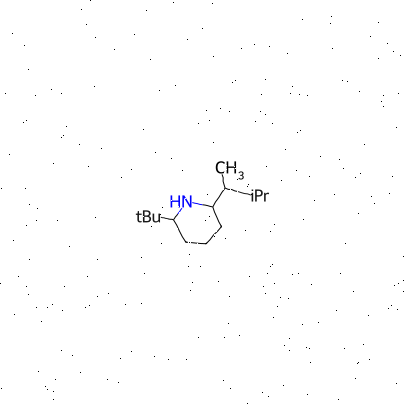 CC(C)C(C)C1CCCC(C(C)(C)C)N1